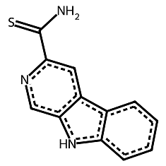 NC(=S)c1cc2c(cn1)[nH]c1ccccc12